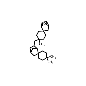 CC1(C)CCC2(CC1)CC1CC(CC3(C)CCC4(CC3)Cc3ccc4o3)C2C1